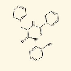 CCCc1ccccc1NC(=O)C(Cc1ccccc1)NC(=O)c1ccccc1